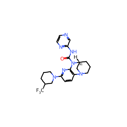 O=C(Nc1cnccn1)N1c2nc(N3CCCC(C(F)(F)F)C3)ccc2N2CCC[C@@H]1C2